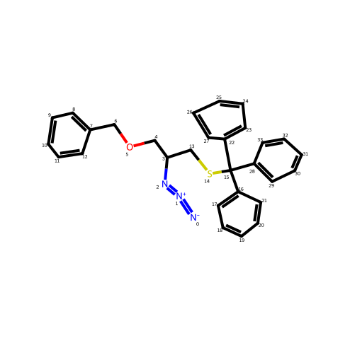 [N-]=[N+]=NC(COCc1ccccc1)CSC(c1ccccc1)(c1ccccc1)c1ccccc1